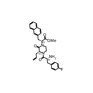 C=CC[C@H]1C(=O)N([C@@H](Cc2ccc3ccccc3c2)C(=O)OC)CCN1C(=O)[C@H](N)Cc1ccc(F)cc1